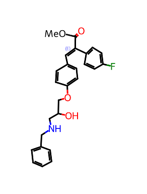 COC(=O)/C(=C/c1ccc(OCC(O)CNCc2ccccc2)cc1)c1ccc(F)cc1